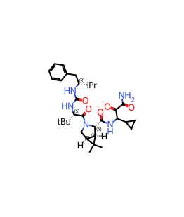 CC(C)[C@@H](Cc1ccccc1)NC(=O)N[C@H](C(=O)N1C[C@H]2[C@@H]([C@H]1C(=O)NC(C(=O)C(N)=O)C1CC1)C2(C)C)C(C)(C)C